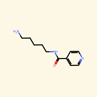 NCCCCCNC(=O)c1ccncc1